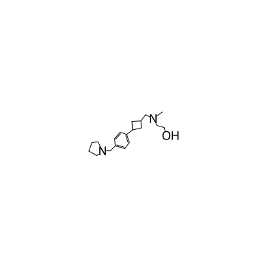 CN(CCO)CC1CC(c2ccc(CN3CCCC3)cc2)C1